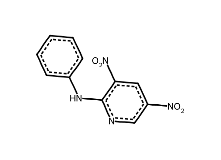 O=[N+]([O-])c1cnc(Nc2ccccc2)c([N+](=O)[O-])c1